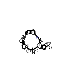 CNC(=O)c1ccc(C[C@@H]2OC(=O)C(C)(C)/C=C/c3ccc4ccc(nc4c3)N(C)N(C)C(=O)[C@@H]3CCCN(N3)C(=O)[C@H](C)NC2=O)cc1